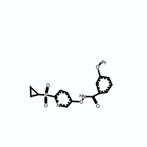 CC(C)Oc1cccc(C(=O)NOc2ccc(S(=O)(=O)C3CC3)nc2)c1